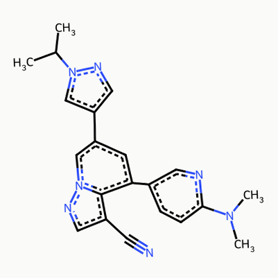 CC(C)n1cc(-c2cc(-c3ccc(N(C)C)nc3)c3c(C#N)cnn3c2)cn1